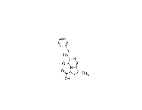 C[C@@H]1C[C@@H](C(=O)O)n2c1cnc(NCc1ccccc1)c2=O